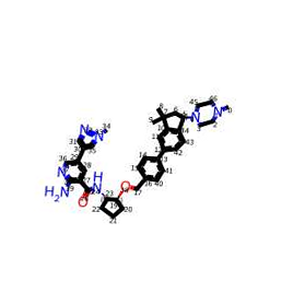 CN1CCN([C@@H]2CC(C)(C)c3cc(-c4ccc(CO[C@H]5CCC[C@@H]5NC(=O)c5cc(-c6cnn(C)c6)cnc5N)cc4)ccc32)CC1